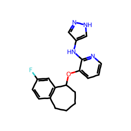 Fc1ccc2c(c1)C(Oc1cccnc1Nc1cn[nH]c1)CCCC2